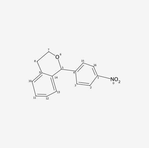 O=[N+]([O-])c1ccc(C2OCCc3ccccc32)cc1